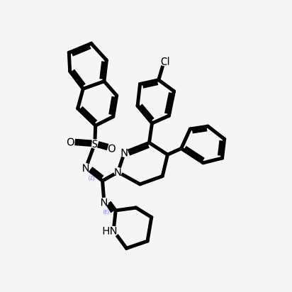 O=S(=O)(/N=C(/N=C1\CCCCN1)N1CCC(c2ccccc2)C(c2ccc(Cl)cc2)=N1)c1ccc2ccccc2c1